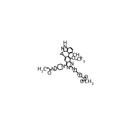 C=CC(=O)N1CC2(CCN(c3nc(N4CC(N5CC(S(C)(=O)=O)C5)C4)nc4c(OCC(F)(F)F)c(-c5c(C)ccc6[nH]ncc56)c(C5CC5)cc34)CC2)C1